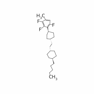 CCCCC[C@H]1CC[C@H](CC[C@H]2CC[C@H](c3c(F)cc(C)c(F)c3F)CC2)CC1